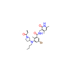 C=CC(=O)N1CCC(N(CCCC)c2cc(Br)cc(C(=O)NCc3c(C)cc(C)[nH]c3=O)c2C)C1